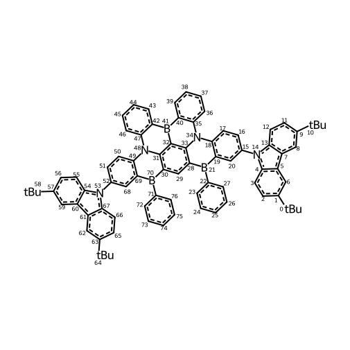 CC(C)(C)c1ccc2c(c1)c1cc(C(C)(C)C)ccc1n2-c1ccc2c(c1)B(c1ccccc1)c1cc3c4c5c1N2c1ccccc1B5c1ccccc1N4c1ccc(-n2c4ccc(C(C)(C)C)cc4c4cc(C(C)(C)C)ccc42)cc1B3c1ccccc1